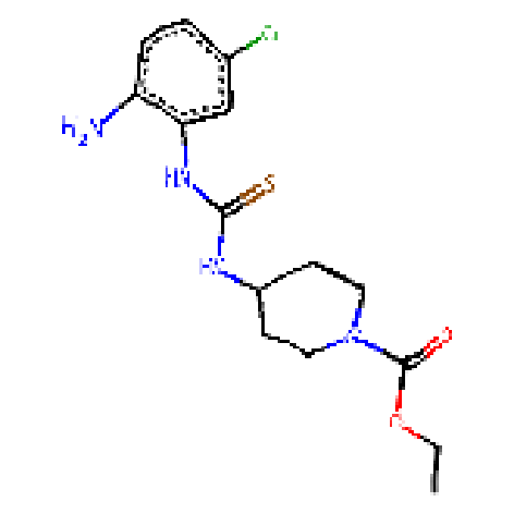 CCOC(=O)N1CCC(NC(=S)Nc2cc(Cl)ccc2N)CC1